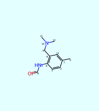 Cc1ccc(NC=O)c(CN(C)C)c1